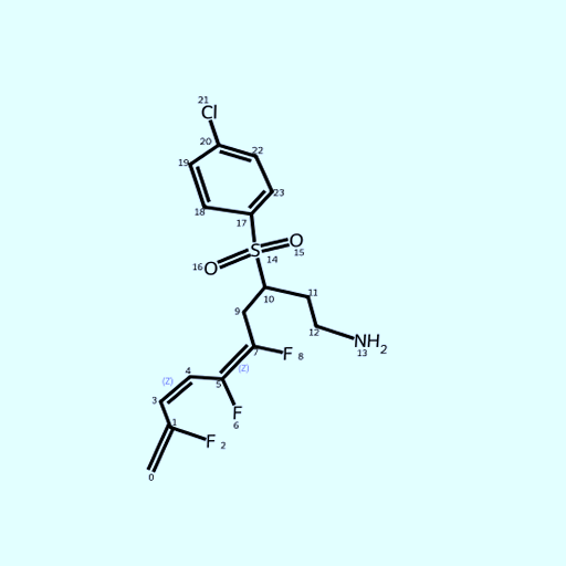 C=C(F)/C=C\C(F)=C(\F)CC(CCN)S(=O)(=O)c1ccc(Cl)cc1